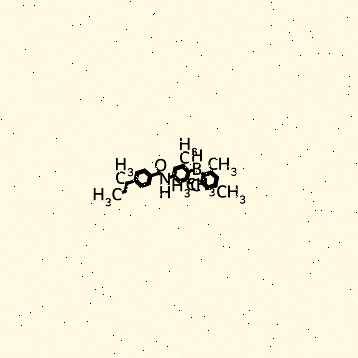 CCC(C)c1ccc(C(=O)Nc2cc(C)c(Bc3c(C)cc(C)cc3C)c(C)c2)cc1